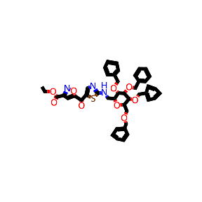 CCOC(=O)c1cc(C(=O)c2cnc(NCC3OC(COCc4ccccc4)C(OCc4ccccc4)C(OCc4ccccc4)C3OCc3ccccc3)s2)on1